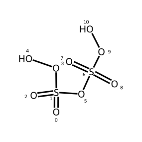 O=S(=O)(OO)OS(=O)(=O)OO